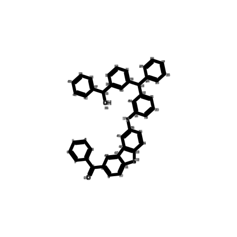 O=C(c1ccccc1)c1ccc2sc3ccc(Sc4cccc(C(c5ccccc5)c5cccc(C(O)c6ccccc6)c5)c4)cc3c2c1